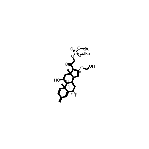 C=C1C=CC2(C)C(=C1)[C@@H](F)CC1C3C[C@@H](OCO)C(C(=O)COP(=O)(OC(C)(C)C)OC(C)(C)C)C3(C)CC(O)[C@@]12F